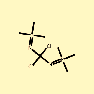 CP(C)(C)=NC(Cl)(Cl)N=P(C)(C)C